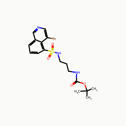 CC(C)(C)OC(=O)NCCCNS(=O)(=O)c1cccc2cncc(Br)c12